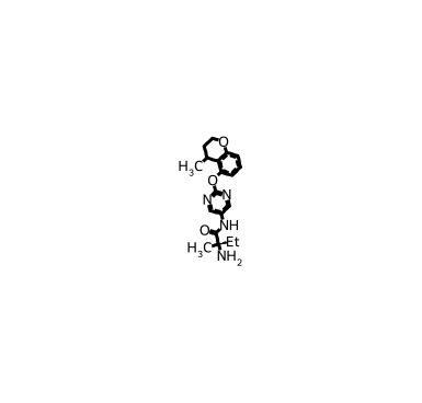 CC[C@](C)(N)C(=O)Nc1cnc(Oc2cccc3c2C(C)CCO3)nc1